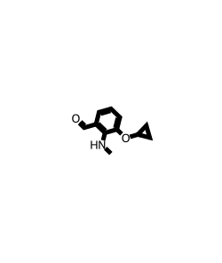 CNc1c(C=O)cccc1OC1CC1